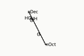 CCCCCCCC/C=C\CCCCCCCCCCCC(=O)CCCCCCCCCCCCCCCC(=O)N[C@H](CO)CCCCCCCCCCCCCCCC